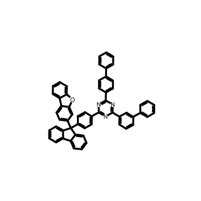 c1ccc(-c2ccc(-c3nc(-c4ccc(C5(c6ccc7c(c6)oc6ccccc67)c6ccccc6-c6ccccc65)cc4)nc(-c4cccc(-c5ccccc5)c4)n3)cc2)cc1